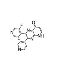 O=c1cc[nH]c2nc(-c3ccncc3)c(-c3c(F)cncc3F)nc12